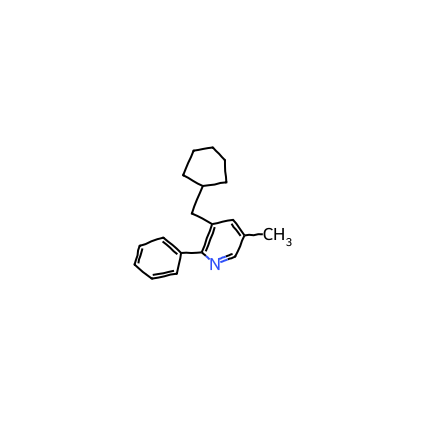 Cc1cnc(-c2ccccc2)c(CC2CCCCC2)c1